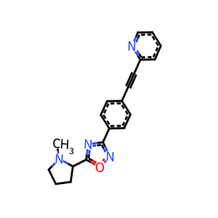 CN1CCCC1c1nc(-c2ccc(C#Cc3ccccn3)cc2)no1